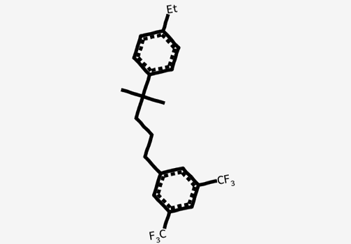 CCc1ccc(C(C)(C)CCCc2cc(C(F)(F)F)cc(C(F)(F)F)c2)cc1